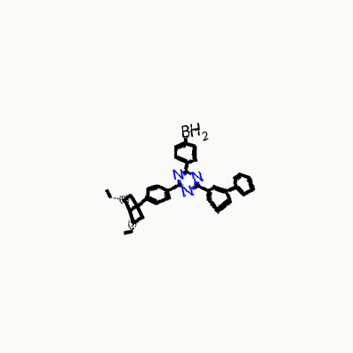 Bc1ccc(-c2nc(-c3ccc(C45C[C@@H](CC)C4[C@@H](CC)C5)cc3)nc(-c3cccc(-c4ccccc4)c3)n2)cc1